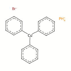 [Br-].[PH4+].c1cc[c]([Cu]([c]2ccccc2)[c]2ccccc2)cc1